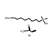 C=CC(N)=O.CCCCCCCCCCCCCCCCCC[N+](C)(C)CCC.[Br-]